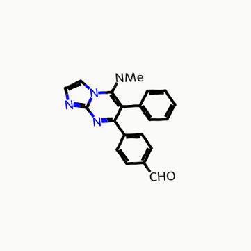 CNc1c(-c2ccccc2)c(-c2ccc(C=O)cc2)nc2nccn12